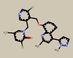 Cc1cc(-c2ccnn2C)c2cccc(OCc3c(Cl)cncc3Cn3cc(C(F)(F)F)cc(Cl)c3=O)c2n1